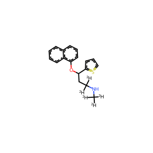 [2H]C([2H])([2H])NC([2H])([2H])CC(Oc1cccc2ccccc12)c1cccs1